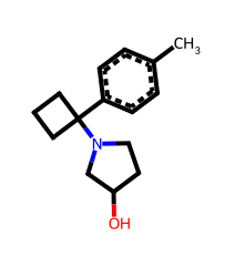 Cc1ccc(C2(N3CCC(O)C3)CCC2)cc1